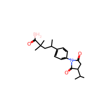 BC(=O)C(C)(C)CC(C)c1ccc(N2C(=O)CC(C(C)C)C2=O)cc1